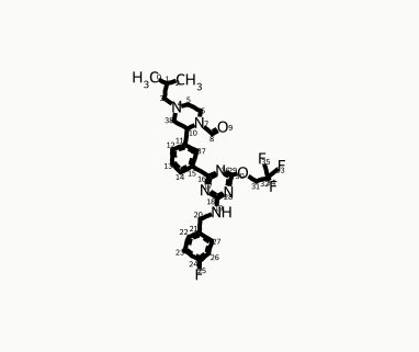 CC(C)CN1CCN(C=O)C(c2cccc(-c3nc(NCc4ccc(F)cc4)nc(OCC(F)(F)F)n3)c2)C1